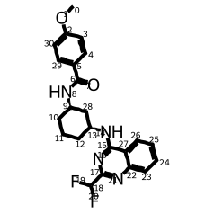 COc1ccc(C(=O)N[C@@H]2CCC[C@H](Nc3nc(C(F)F)nc4ccccc34)C2)cc1